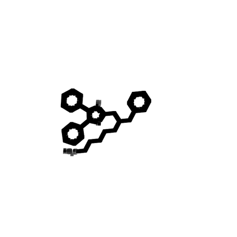 O=C(O)CCCCCC(Cc1ccccc1)Cc1nc(-c2ccccc2)c(-c2ccccc2)[nH]1